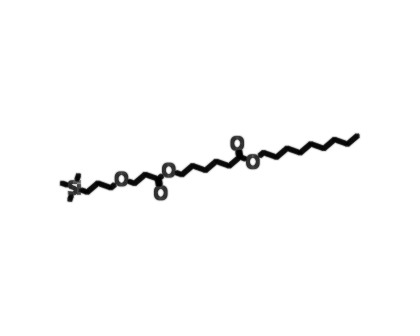 CCCCCCCCCOC(=O)CCCCCOC(=O)CCOCCC[Si](C)(C)C